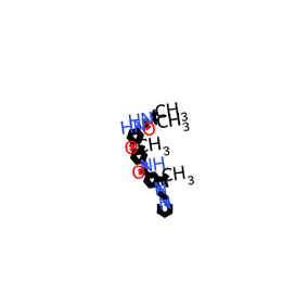 CCC(CC)NC(=O)Nc1ccc(Oc2ccc(NC(=O)c3ccc4c(c3)c(C)cn4CCN3CCCCC3)cc2C)cc1